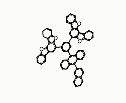 C1=Cc2oc3c(-c4cc(-c5c6ccccc6c(-c6ccc7ccccc7c6)c6ccccc56)cc(-c5cc6c7ccccc7oc6c6c5oc5ccccc56)c4)cc4c5ccccc5oc4c3c2CC1